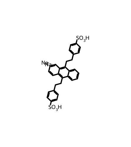 O=S(=O)(O)c1ccc(CCc2c3ccccc3c(CCc3ccc(S(=O)(=O)O)cc3)c3ccccc23)cc1.[Na].[Na]